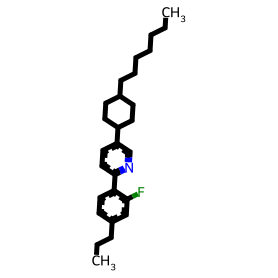 CCCCCCCC1CCC(c2ccc(-c3ccc(CCC)cc3F)nc2)CC1